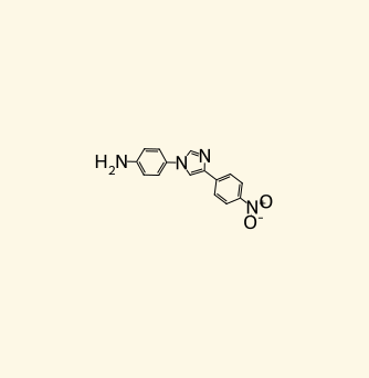 Nc1ccc(-n2cnc(-c3ccc([N+](=O)[O-])cc3)c2)cc1